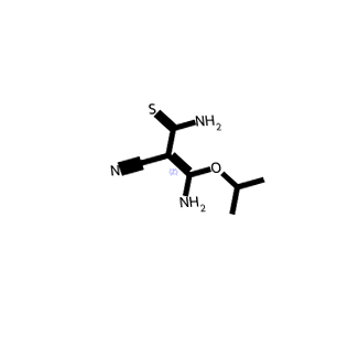 CC(C)O/C(N)=C(/C#N)C(N)=S